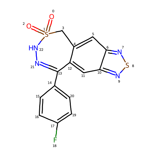 O=S1(=O)Cc2cc3nsnc3cc2C(c2ccc(F)cc2)=NN1